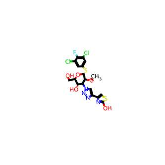 COC1C(n2cc(-c3csc(O)n3)nn2)[C@@H](O)C(CO)O[C@@H]1Sc1cc(Cl)c(F)c(Cl)c1